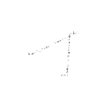 CCOC(=O)c1cc2ccc(N(CCOCCOCCOCCOCCOCCOCCOCCOCCOCCOCCOCCOC)CCOCCOCCOCCOCCOCCOCCOCCOCCOCCOCCOCCOC)cc2oc1=O